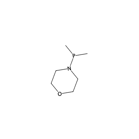 CP(C)N1CCOCC1